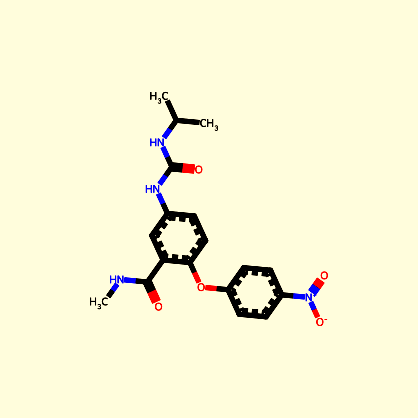 CNC(=O)c1cc(NC(=O)NC(C)C)ccc1Oc1ccc([N+](=O)[O-])cc1